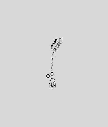 O=C(OCCCCCCCCCCCC(F)(F)C(F)(F)C(F)(F)C(F)(F)F)C1=CC=C2N=NN=C2C1